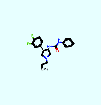 COCCN1C[C@@H](NC(=O)Nc2ccccc2)[C@H](c2ccc(F)c(F)c2)C1